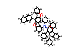 c1ccc(-c2ccccc2N(c2ccc3c(c2)C(c2ccccc2)(c2ccccc2)c2ccccc2-3)c2cccc3oc4c(-c5ccc6ccccc6c5)c5c(cc4c23)oc2ccccc25)cc1